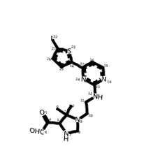 CC1(C)C(C(=O)C=O)NCN1CCNc1nccc(-c2ccc(I)s2)n1